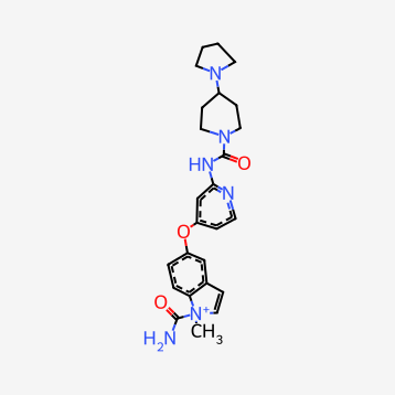 C[N+]1(C(N)=O)C=Cc2cc(Oc3ccnc(NC(=O)N4CCC(N5CCCC5)CC4)c3)ccc21